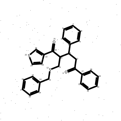 O=C(CC(c1ccccc1)C(CSCc1ccccc1)C(=O)c1ccsc1)c1ccccc1